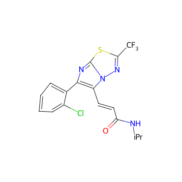 CC(C)NC(=O)/C=C/c1c(-c2ccccc2Cl)nc2sc(C(F)(F)F)nn12